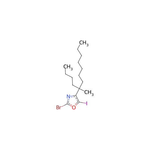 CCCCCCCC(C)(CCCC)c1nc(Br)oc1I